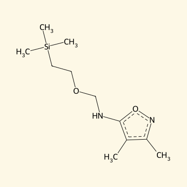 Cc1noc(NCOCC[Si](C)(C)C)c1C